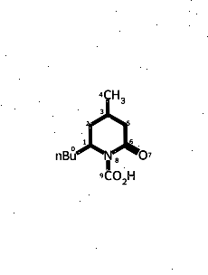 CCCCC1CC(C)CC(=O)N1C(=O)O